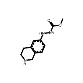 COC(=O)NNc1ccc2c(c1)CCNC2